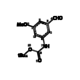 COc1cc(C=O)cc(NC(=O)OC(C)(C)C)c1